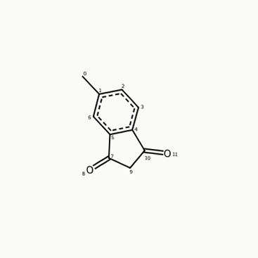 Cc1ccc2c(c1)C(=O)CC2=O